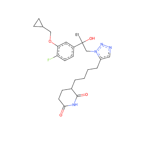 CCC(O)(Cn1nncc1CCCCC1CCC(=O)NC1=O)c1ccc(F)c(OCC2CC2)c1